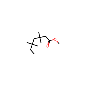 CCC(C)(C)CC(C)(C)CC(=O)OC